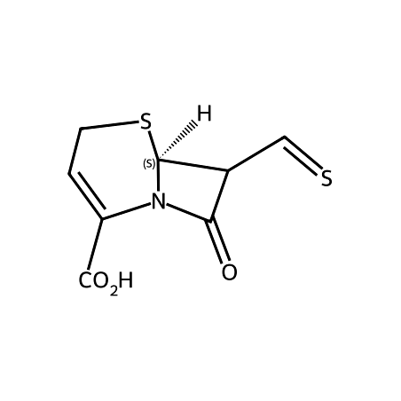 O=C(O)C1=CCS[C@H]2C(C=S)C(=O)N12